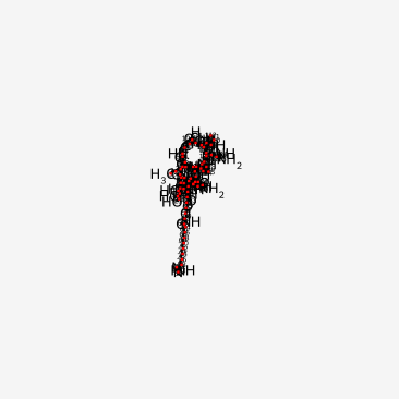 CCCC[C@H](NC(=O)[C@H](CNC[C@H](O)[C@@H](O)[C@H](O)[C@H](O)CO)NC(=O)[C@H](Cc1c[nH]cn1)NC(=O)[C@H](CCC(N)=O)NC(=O)[C@H](CO)NC(=O)CNC(=O)COCCOCCNC(=O)CCCCCCCCCCCCCCCc1nnn[nH]1)C(=O)N[C@H]1CCC(=O)NCCCC[C@@H](C(C)=O)NC(=O)[C@H](Cc2c[nH]c3ccccc23)NC(=O)[C@H](CCCNC(=N)N)NC(=O)[C@@H](Cc2ccccc2)NC(=O)[C@@H]2C[C@@H](O)CN2C1=O